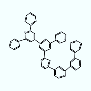 c1ccc(-c2cccc(-c3cccc(-c4cccc(-c5cc(-c6ccccc6)cc(-c6cc(-c7ccccc7)nc(-c7ccccc7)c6)c5)c4)c3)c2)cc1